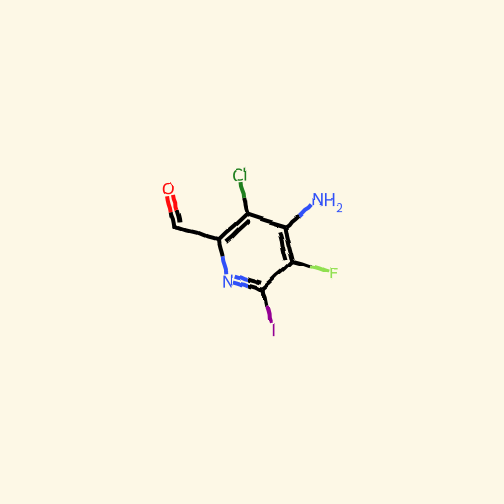 Nc1c(F)c(I)nc(C=O)c1Cl